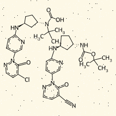 CC(C)(C)N(C(=O)O)[C@H]1CC[C@H](Nc2ccc(-n3nccc(Cl)c3=O)cn2)C1.CC(C)(C)OC(=O)N[C@H]1CC[C@H](Nc2ccc(-n3nccc(C#N)c3=O)cn2)C1